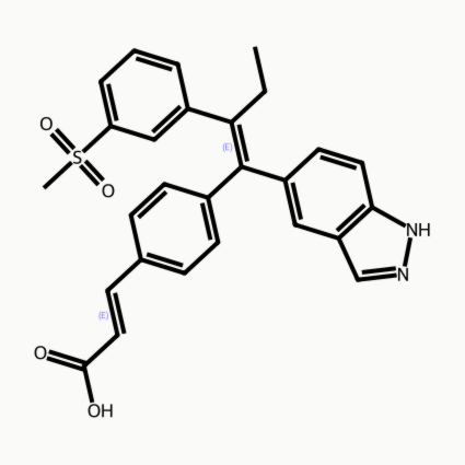 CC/C(=C(/c1ccc(/C=C/C(=O)O)cc1)c1ccc2[nH]ncc2c1)c1cccc(S(C)(=O)=O)c1